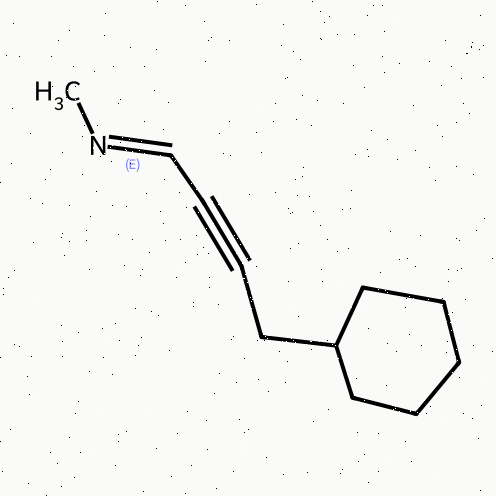 C/N=C/C#CCC1CCCCC1